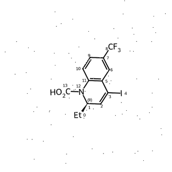 CC[C@@H]1C=C(I)c2cc(C(F)(F)F)ccc2N1C(=O)O